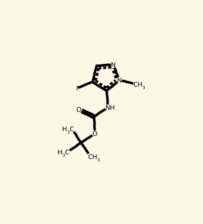 Cn1ncc(I)c1NC(=O)OC(C)(C)C